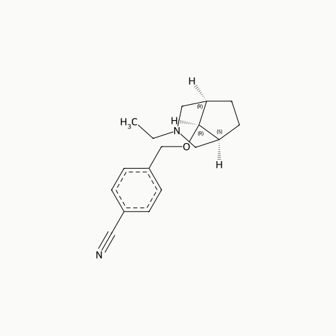 CCN1C[C@H]2CC[C@@H](C1)[C@H]2OCc1ccc(C#N)cc1